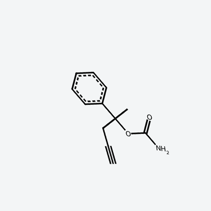 C#CCC(C)(OC(N)=O)c1ccccc1